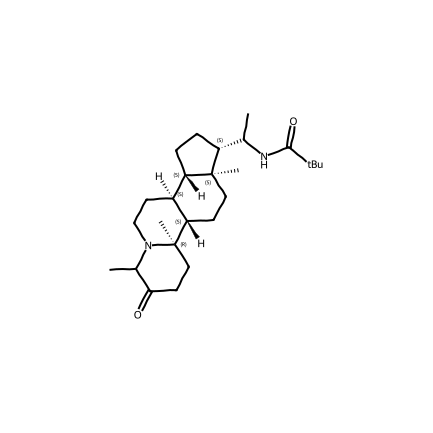 CC(NC(=O)C(C)(C)C)[C@H]1CC[C@H]2[C@@H]3CCN4C(C)C(=O)CC[C@]4(C)[C@H]3CC[C@]12C